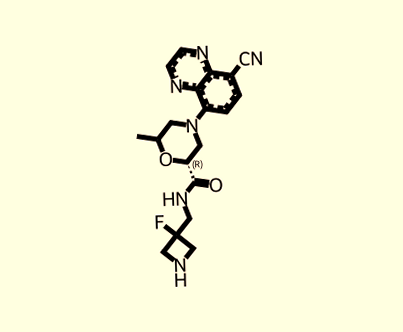 CC1CN(c2ccc(C#N)c3nccnc23)C[C@H](C(=O)NCC2(F)CNC2)O1